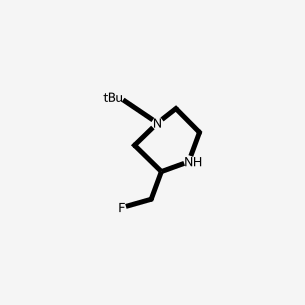 CC(C)(C)N1CCNC(CF)C1